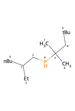 CCCCC(CC)CPC(C)(C)CC(C)(C)C